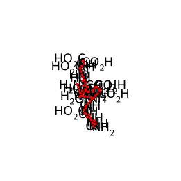 NCCCC[C@H](NC(=O)[C@H](CC(=O)O)NC(=O)[C@H](CC(=O)O)NC(=O)Cc1ccc(CNC(=O)NCCCC[C@H](NC(=O)N[C@@H](CCC(=O)O)C(=O)O)C(=O)O)cc1)C(=O)N[C@@H](CCCCNC(=O)[C@H](CCCCNC(=O)CC[C@H](NC(=O)c1ccc(NCc2cnc3[nH]c(N)nc(=O)c3n2)cc1)C(=O)O)NC(=O)CN1CCN(CC(=O)O)CCN(CC(=O)O)CCN(CC(=O)O)CC1)C(N)=O